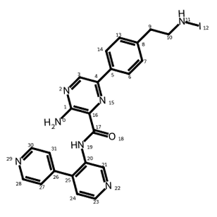 Nc1ncc(-c2ccc(CCNI)cc2)nc1C(=O)Nc1cnccc1-c1ccncc1